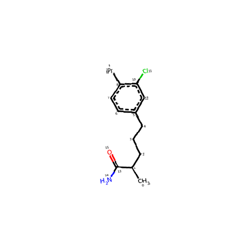 CC(CCCc1ccc(C(C)C)c(Cl)c1)C(N)=O